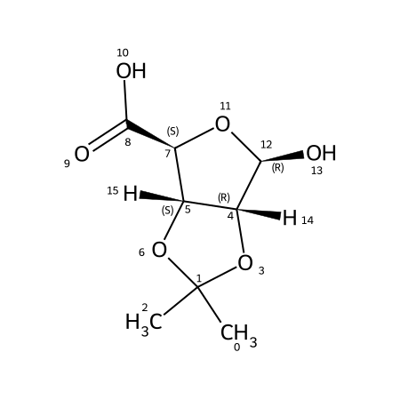 CC1(C)O[C@@H]2[C@H](O1)[C@@H](C(=O)O)O[C@H]2O